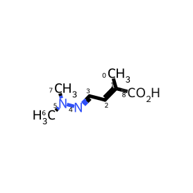 CC(=CC=NN(C)C)C(=O)O